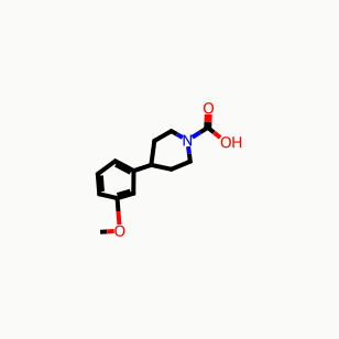 COc1cccc(C2CCN(C(=O)O)CC2)c1